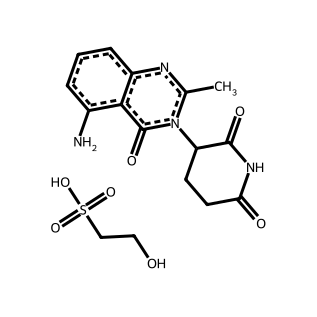 Cc1nc2cccc(N)c2c(=O)n1C1CCC(=O)NC1=O.O=S(=O)(O)CCO